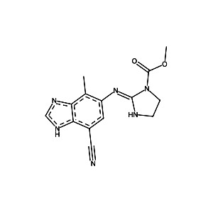 COC(=O)N1CCN/C1=N\c1cc(C#N)c2[nH]cnc2c1C